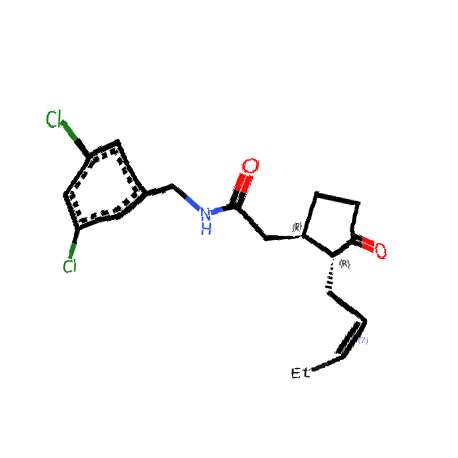 CC/C=C\C[C@H]1C(=O)CC[C@@H]1CC(=O)NCc1cc(Cl)cc(Cl)c1